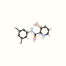 Cc1cc(C)cc(NC(=O)c2ncccc2O)c1